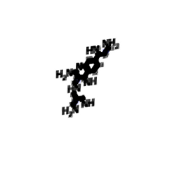 N=C/C(=C\N)CN/C=C1\C(=N)c2ccc(C(=N)/C=C\N)cc2N=C1N